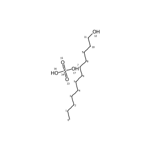 CCCCCCCCCCCCO.O=S(=O)(O)O